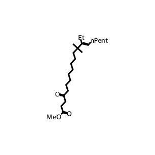 CCCCC/C=C(\CC)C(C)(C)CCCCCCCCC(=O)CCC(=O)OC